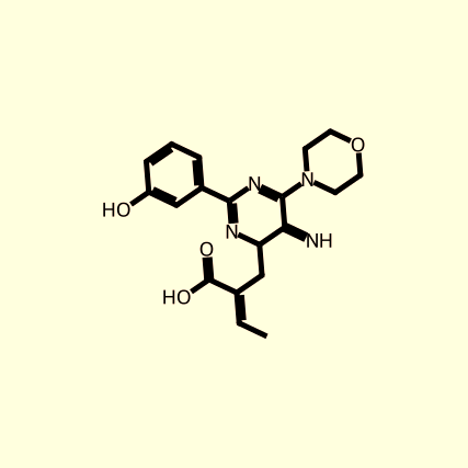 C/C=C(\CC1N=C(c2cccc(O)c2)N=C(N2CCOCC2)C1=N)C(=O)O